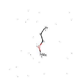 CNOCCC(C)C